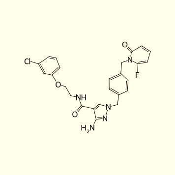 Nc1nn(Cc2ccc(Cn3c(F)cccc3=O)cc2)cc1C(=O)NCCOc1cccc(Cl)c1